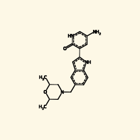 CC1CN(Cc2ccc3[nH]c(-c4cc(N)c[nH]c4=O)cc3c2)CC(C)O1